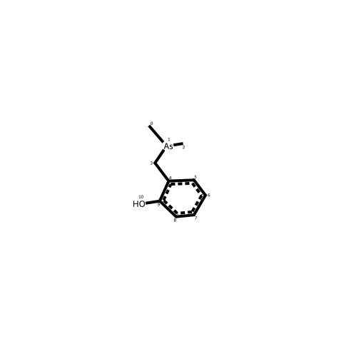 C[As](C)Cc1ccccc1O